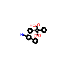 N#Cc1ccc(-c2ccccc2OC(=O)[C@@H]2C(c3ccccc3)C(C(=O)O)[C@H]2c2ccccc2)cc1